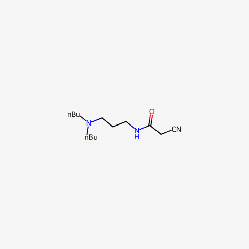 CCCCN(CCCC)CCCNC(=O)CC#N